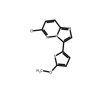 COc1ccc(-c2cnc3ccc(Cl)nn23)s1